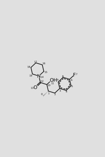 C[C@@H](Cc1ccc(F)cc1)C(O)C(=O)N1CCCCC1